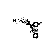 NC(=O)Cn1cc(-c2cn(S(=O)(=O)c3ccccc3)c3cc(F)ccc23)cn1